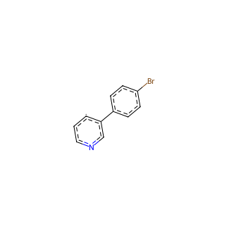 Brc1ccc(-c2[c]ccnc2)cc1